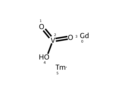 [Gd].[O]=[V](=[O])[OH].[Tm]